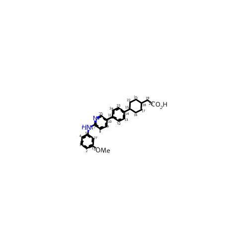 COc1cccc(Nc2ccc(-c3ccc(C4CCC(CC(=O)O)CC4)cc3)cn2)c1